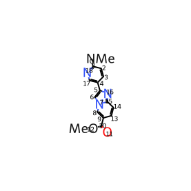 CNc1ccc(-c2cn3cc(C(=O)OC)ccc3n2)cn1